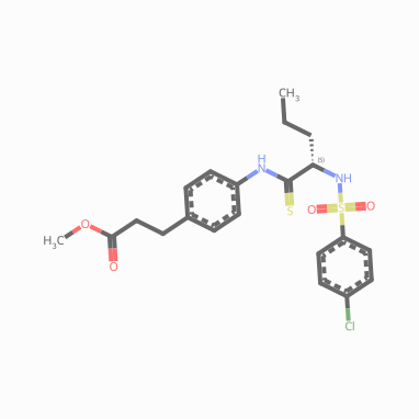 CCC[C@H](NS(=O)(=O)c1ccc(Cl)cc1)C(=S)Nc1ccc(CCC(=O)OC)cc1